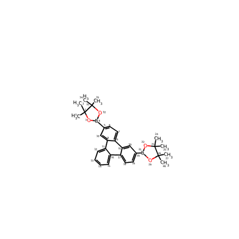 CC1(C)OB(c2ccc3c(c2)c2ccccc2c2ccc(B4OC(C)(C)C(C)(C)O4)cc23)OC1(C)C